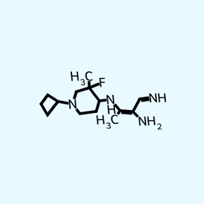 C/C(NC1CCN(C2CCC2)CC1(C)F)=C(\N)C=N